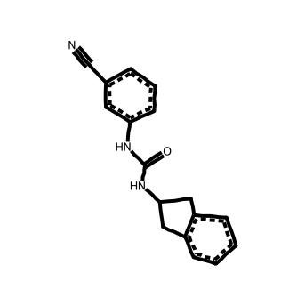 N#Cc1cccc(NC(=O)NC2Cc3ccccc3C2)c1